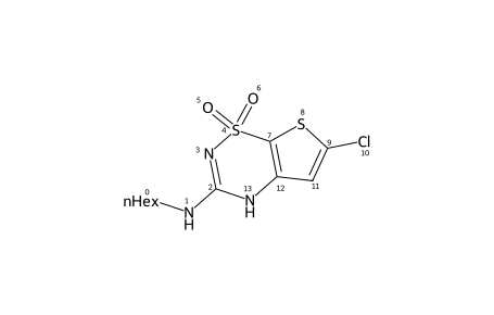 CCCCCCNC1=NS(=O)(=O)c2sc(Cl)cc2N1